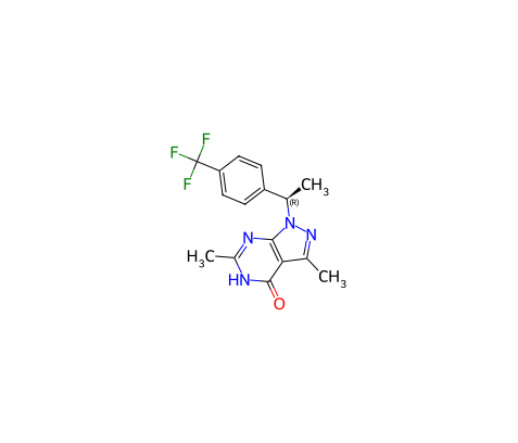 Cc1nc2c(c(C)nn2[C@H](C)c2ccc(C(F)(F)F)cc2)c(=O)[nH]1